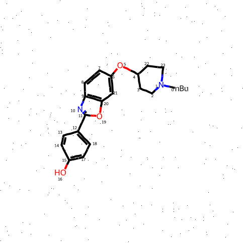 CCCCN1CCC(Oc2ccc3nc(-c4ccc(O)cc4)oc3c2)CC1